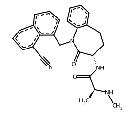 CN[C@@H](C)C(=O)N[C@H]1CCc2ccccc2N(Cc2cccc3cccc(C#N)c23)C1=O